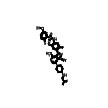 CCOc1ccc(F)c(S(=O)(=O)Nc2cc(F)c(-c3nn(C(C)C)c4c3c(N)ncc4[C@H]3CC[C@H](NCC(C)F)CC3)cc2F)c1